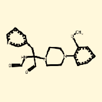 COc1ccccc1N1CCN(C(C=O)(Cc2cccnc2)NC=O)CC1